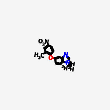 [2H]C([2H])([2H])n1cnc2cc(Oc3ccc([N+](=O)[O-])cc3C)ccc21